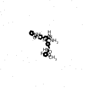 COc1ccc(F)cc1C(=O)NCc1ccc(-c2nc(C3CCN(C(=O)Nc4ccccc4)CC3)cc3[nH]nc(N)c23)cc1